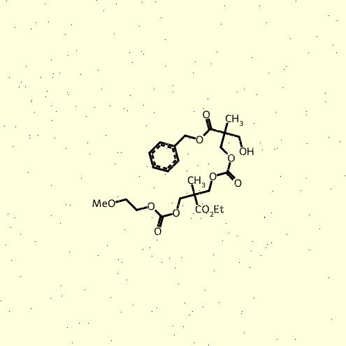 CCOC(=O)C(C)(COC(=O)OCCOC)COC(=O)OCC(C)(CO)C(=O)OCc1ccccc1